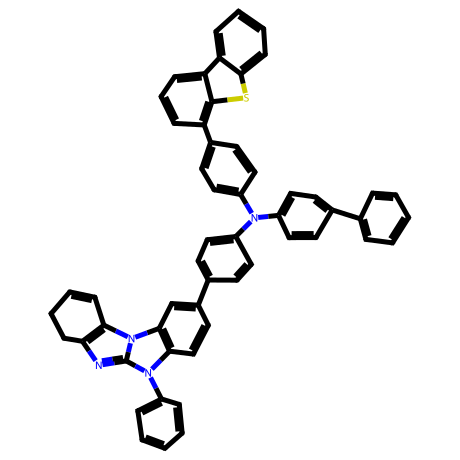 C1=Cc2c(nc3n(-c4ccccc4)c4ccc(-c5ccc(N(c6ccc(-c7ccccc7)cc6)c6ccc(-c7cccc8c7sc7ccccc78)cc6)cc5)cc4n23)CC1